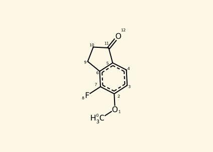 COc1ccc2c(c1F)CCC2=O